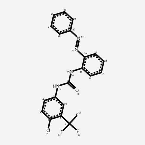 O=C(Nc1ccc(Cl)c(C(F)(F)F)c1)Nc1ccccc1N=Nc1ccccc1